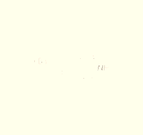 CCCCCC=C1C=CNCC1